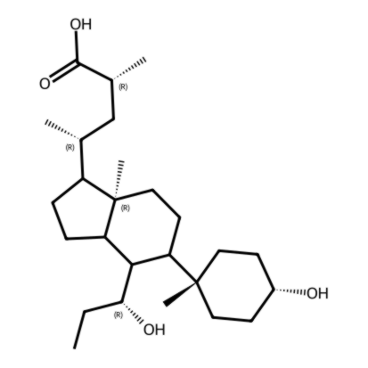 CC[C@@H](O)C1C2CCC([C@H](C)C[C@@H](C)C(=O)O)[C@@]2(C)CCC1[C@]1(C)CC[C@H](O)CC1